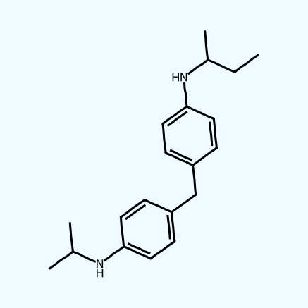 CCC(C)Nc1ccc(Cc2ccc(NC(C)C)cc2)cc1